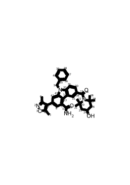 Cc1noc(C)c1-c1cc(C(N)=O)c2c3cc(C(=O)N4C(C)(C)CC(O)CC4(C)C)ccc3n(Cc3ccccc3)c2c1